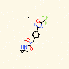 CON(Cc1ccc(-c2noc(C(F)(F)F)n2)cc1)C(=O)NC1(C)CC1